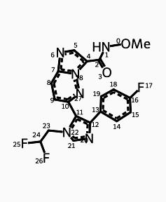 CONC(=O)c1cnc2ccc(-c3c(-c4ccc(F)cc4)ncn3CC(F)F)nn12